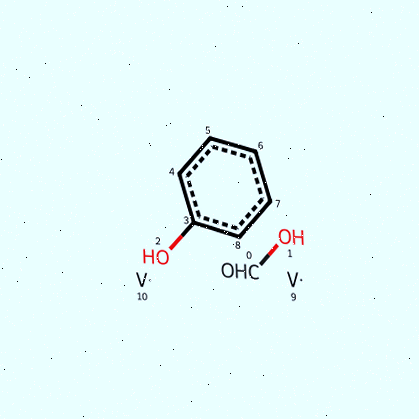 O=CO.Oc1ccccc1.[V].[V]